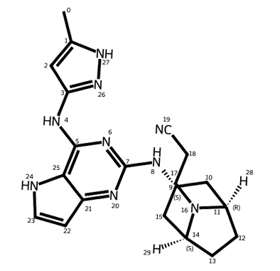 Cc1cc(Nc2nc(N[C@@H]3C[C@H]4CC[C@@H](C3)N4CCC#N)nc3cc[nH]c23)n[nH]1